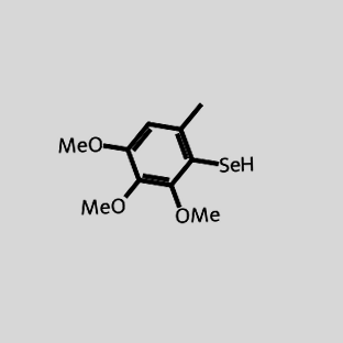 COc1cc(C)c([SeH])c(OC)c1OC